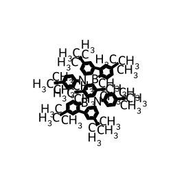 CC(C)(C)c1ccc(N2c3cc(C(C)(C)C)cc4c3B(c3ccc(C(C)(C)C)cc3-4)c3c2c(C(C)(C)C)c2c(c3C(C)(C)C)N(c3ccc(C(C)(C)C)cc3)c3cc(C(C)(C)C)cc4c3B2c2ccc(C(C)(C)C)cc2-4)cc1